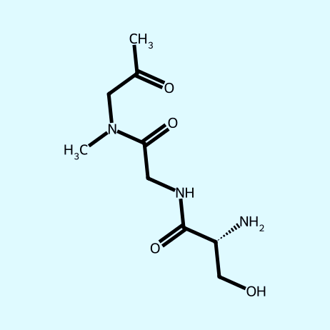 CC(=O)CN(C)C(=O)CNC(=O)[C@H](N)CO